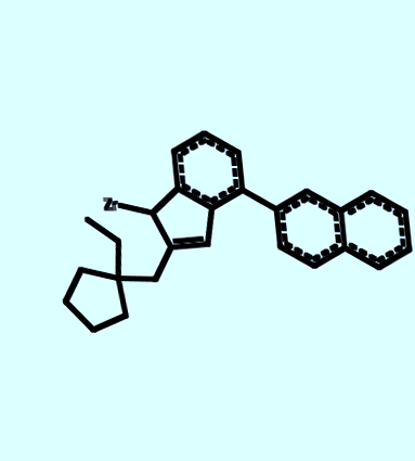 CCC1(CC2=Cc3c(-c4ccc5ccccc5c4)cccc3[CH]2[Zr])CCCC1